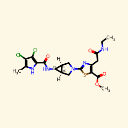 CCNC(=O)Cc1nc(N2C[C@@H]3[C@H](C2)[C@@H]3NC(=O)c2[nH]c(C)c(Cl)c2Cl)sc1C(=O)OC